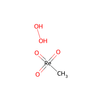 OO.[CH3][Re](=[O])(=[O])=[O]